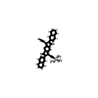 CC#CC1=c2cc3c(cc2-c2sc4cc5ccccc5cc4c21)=C(C#C[Si](C(C)C)(C(C)C)C(C)C)c1c-3sc2cc3ccccc3cc12